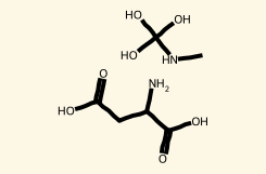 CNC(O)(O)O.NC(CC(=O)O)C(=O)O